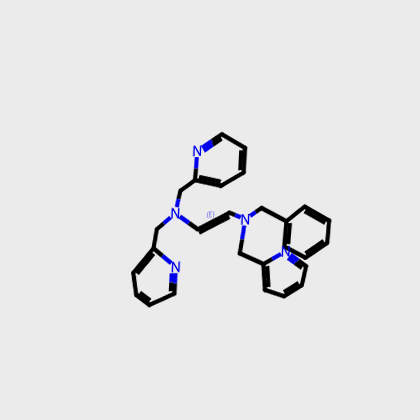 C(=C\N(Cc1ccccn1)Cc1ccccn1)/N(Cc1ccccc1)Cc1ccccn1